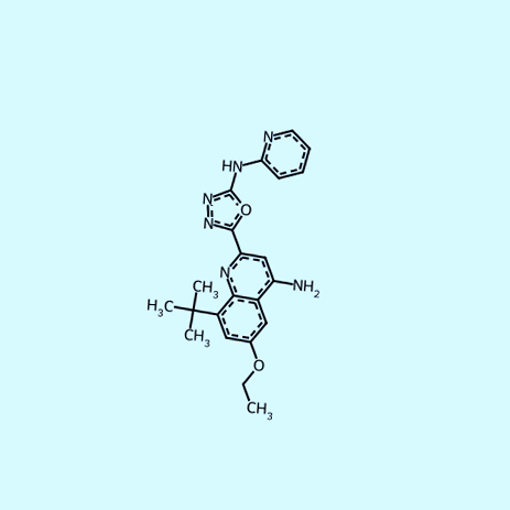 CCOc1cc(C(C)(C)C)c2nc(-c3nnc(Nc4ccccn4)o3)cc(N)c2c1